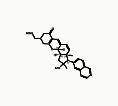 CC(=O)NCC1CC(=O)C2=C(C1)O[C@@H]1C(=C2)C=C[C@@]2(C)[C@H]1CC(C)(OC(C)=O)[C@@H]2c1ccc2cnccc2c1